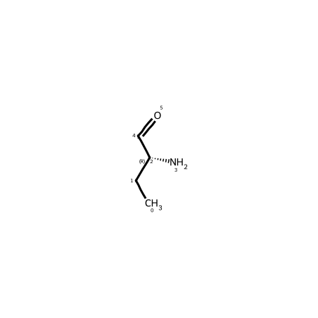 CC[C@@H](N)[C]=O